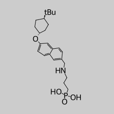 CC(C)(C)[C@H]1CC[C@H](Oc2ccc3cc(CNCCCP(=O)(O)O)ccc3c2)CC1